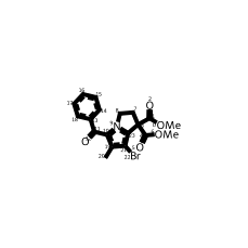 COC(=O)C1(C(=O)OC)CCn2c(C(=O)c3ccccc3)c(C)c(Br)c21